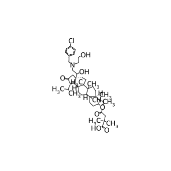 CC(C)C1=C2[C@H]3CC[C@@H]4[C@@]5(C)CC[C@H](OC(=O)CC(C)(C)C(=O)O)C(C)(C)[C@@H]5CC[C@@]4(C)[C@]3(C)CC[C@@]2([C@H](O)CN(CCO)Cc2ccc(Cl)cc2)CC1=O